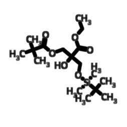 CCOC(=O)C(O)(COC(=O)C(C)(C)C)CO[Si](C)(C)C(C)(C)C